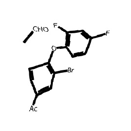 CC(=O)c1ccc(Oc2ccc(F)cc2F)c(Br)c1.CC=O